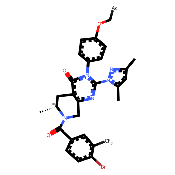 CC(=O)COc1ccc(-n2c(-n3nc(C)cc3C)nc3c(c2=O)C[C@@H](C)N(C(=O)c2ccc(Br)c(C(F)(F)F)c2)C3)cc1